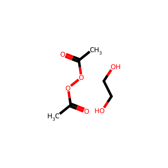 CC(=O)OOC(C)=O.OCCO